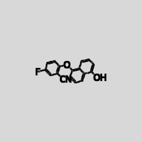 N#Cc1cc(F)ccc1Oc1cccc2c(O)cccc12